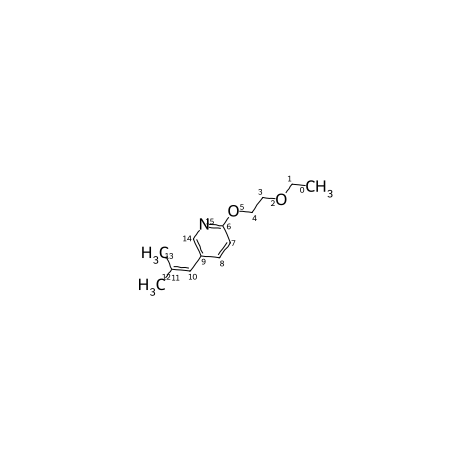 CCOCCOc1ccc(C=C(C)C)cn1